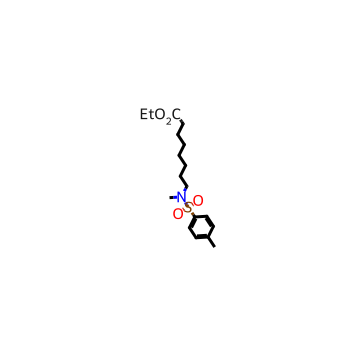 CCOC(=O)CCCCCCCN(C)S(=O)(=O)c1ccc(C)cc1